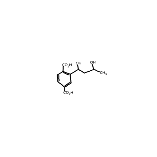 CC(O)CC(O)c1cc(C(=O)O)ccc1C(=O)O